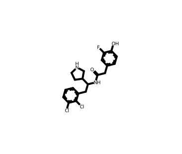 O=C(Cc1ccc(O)c(F)c1)NC(Cc1cccc(Cl)c1Cl)C1CCNC1